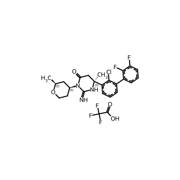 C[C@H]1C[C@@H](N2C(=N)N[C@](C)(c3cccc(-c4cccc(F)c4F)c3Cl)CC2=O)CCO1.O=C(O)C(F)(F)F